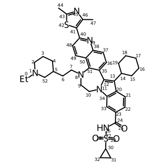 CCN1CCCC(CCN2CCn3c(c(C4CCCCC4)c4ccc(C(=O)NS(=O)(=O)C5CC5)cc43)-c3ccc4nc(-c5sc(C)nc5C)ccc4c32)C1